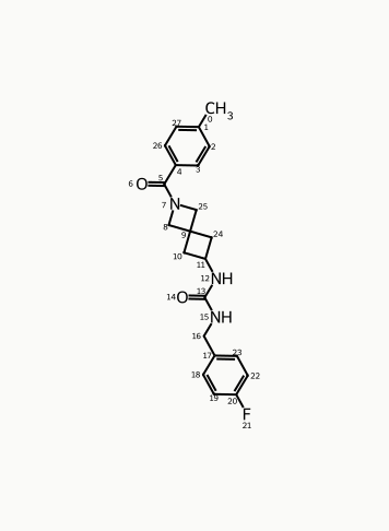 Cc1ccc(C(=O)N2CC3(CC(NC(=O)NCc4ccc(F)cc4)C3)C2)cc1